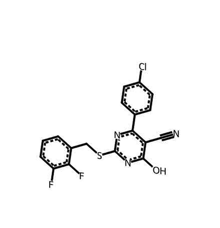 N#Cc1c(O)nc(SCc2cccc(F)c2F)nc1-c1ccc(Cl)cc1